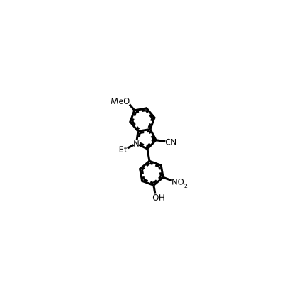 CCn1c(-c2ccc(O)c([N+](=O)[O-])c2)c(C#N)c2ccc(OC)cc21